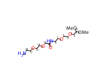 COC(COCCOCCNC(=O)COCCOCCN)OC